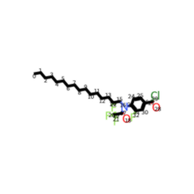 CCCCCCCCCCCCCCCCN(C(=O)C(F)(F)F)c1ccc(C(=O)Cl)cc1F